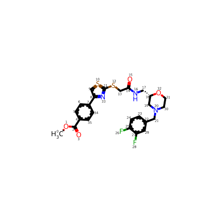 COC(=O)c1ccc(-c2csc(SCC(=O)NC[C@H]3CN(Cc4ccc(F)c(F)c4)CCO3)n2)cc1